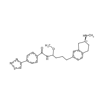 CN[C@H]1CCc2ccc(CCCC(NC(=O)c3ccc(-c4csnn4)cc3)OC)cc2C1